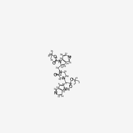 CC(C)(C)OC(=O)C(c1cc2cnccc2[nH]1)N1CCN(Cc2cc3cnccc3n2C(=O)OC(C)(C)C)C(=O)C1